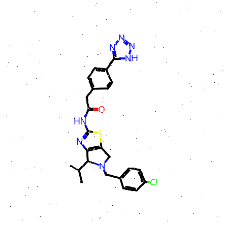 CC(C)C1c2nc(NC(=O)Cc3ccc(-c4nnn[nH]4)cc3)sc2CN1Cc1ccc(Cl)cc1